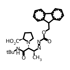 C[C@H](N=NC(=O)OCC1c2ccccc2-c2ccccc21)[C@H](C(=O)NC(C)(C)C)N1CCC[C@@H]1C(=O)O